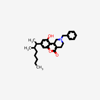 CCCCCC(C)C(C)c1cc(O)c2c3c(c(=O)oc2c1)CCN(Cc1ccccc1)C3